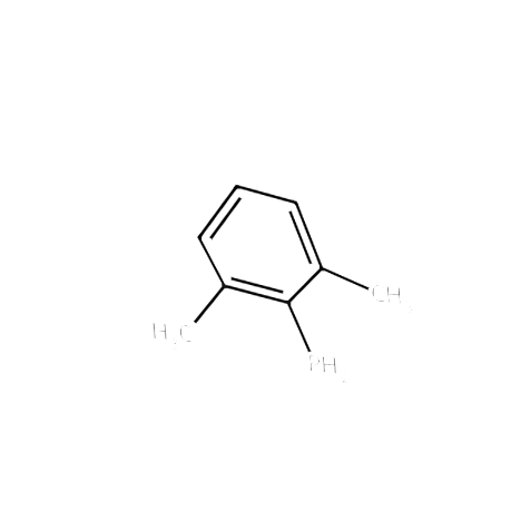 Cc1cccc(C)c1P